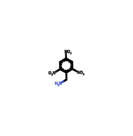 NCc1c([N+](=O)[O-])cc([N+](=O)[O-])cc1[N+](=O)[O-]